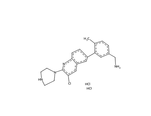 Cc1ccc(CN)cc1-c1ccc2nc(N3CCNCC3)c(Cl)cc2c1.Cl.Cl